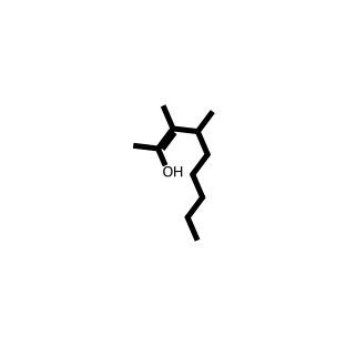 CCCCCC(C)C(C)=C(C)O